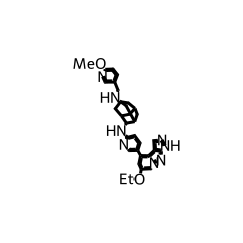 CCOc1cc(-c2ccc(NC3C4CC5CC3CC(NCc3ccc(OC)nc3)(C5)C4)nc2)c2c3cn[nH]c3nn2c1